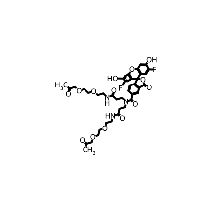 CC(=O)COCCOCCNC(=O)CCN(CCC(=O)NCCOCCOCC(C)=O)C(=O)c1ccc2c(c1)C(=O)OC21c2cc(F)c(O)cc2Oc2cc(O)c(F)cc21